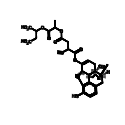 CC(OC(=O)CC(O)C(=O)OC1=CC[C@@]2(O)[C@H]3Cc4ccc(O)c5c4[C@@]2(CCN3C)[C@H]1O5)C(=O)OC(CC(=O)O)C(=O)O